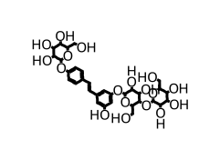 OCC1OC(Oc2ccc(/C=C/c3cc(O)cc(OC4OC(CO)C(OC5OC(CO)C(O)C(O)C5O)C(O)C4O)c3)cc2)C(O)C(O)C1O